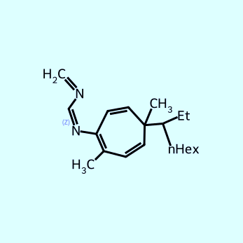 C=N/C=N\C1=C(C)C=CC(C)(C(CC)CCCCCC)C=C1